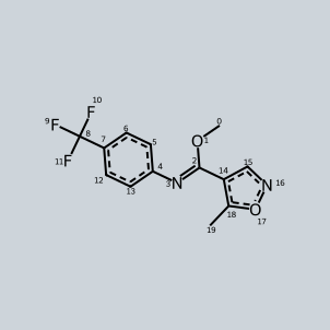 CO/C(=N\c1ccc(C(F)(F)F)cc1)c1cnoc1C